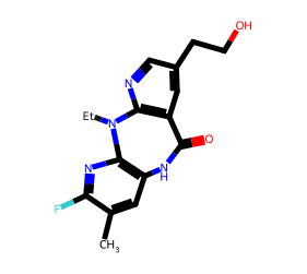 CCN1c2nc(F)c(C)cc2NC(=O)c2cc(CCO)cnc21